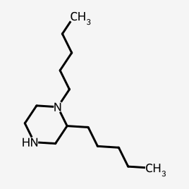 CCCCCC1CNCCN1CCCCC